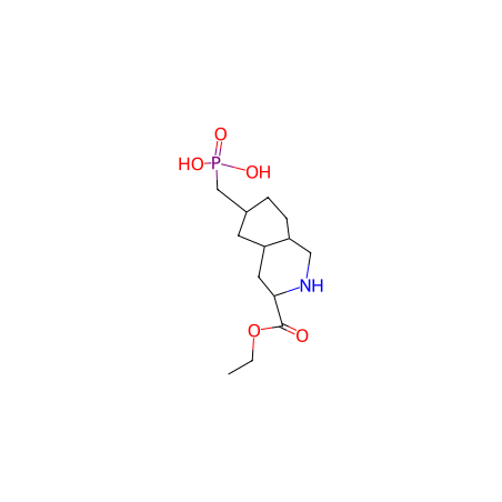 CCOC(=O)C1CC2CC(CP(=O)(O)O)CCC2CN1